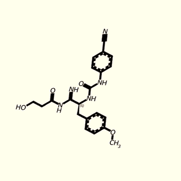 COc1ccc(C[C@H](NC(=O)Nc2ccc(C#N)cc2)C(=N)NC(=O)CCO)cc1